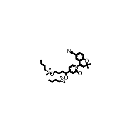 CCCC[Si](C)(C)OCCCC(O[Si](C)(C)CCCC)c1ccn(C2=CC(C)(C)Oc3ccc(C#N)cc32)c(=O)c1